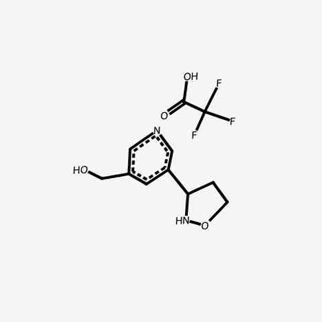 O=C(O)C(F)(F)F.OCc1cncc(C2CCON2)c1